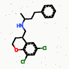 CC(CCc1ccccc1)NCC1CCOc2c(Cl)cc(Cl)cc21